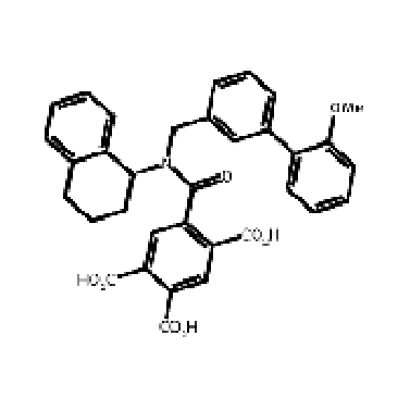 COc1ccccc1-c1cccc(CN(C(=O)c2cc(C(=O)O)c(C(=O)O)cc2C(=O)O)[C@H]2CCCc3ccccc32)c1